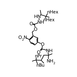 CCCCCCC(C)(CCCCCC)C(C)NNC(=O)OCc1cc(OC(=O)NC(C)(N)CC(C)C(C)(CCC)CCCC)ccc1[N+](=O)[O-]